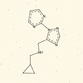 c1cnc(-n2ncnc2CNCC2CC2)nc1